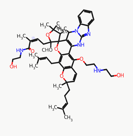 CCC1C(C)(C)OC(C=O)(C/C=C(/C)C(=O)NCCO)C12Oc1c(CC=C(C)C)c3c(c(OCCNCCO)c1C1=C2C(C)n2c(nc4ccccc42)N1)C=CC(C)(CCC=C(C)C)O3